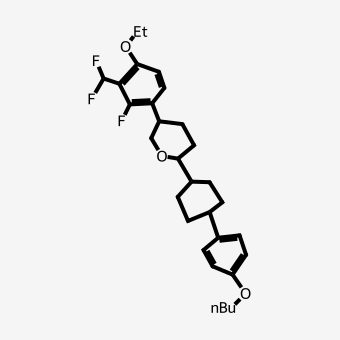 CCCCOc1ccc(C2CCC(C3CCC(c4ccc(OCC)c(C(F)F)c4F)CO3)CC2)cc1